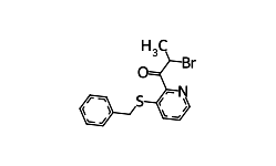 CC(Br)C(=O)c1ncccc1SCc1ccccc1